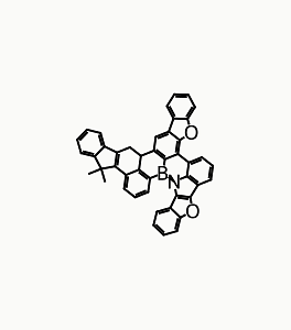 CC1(C)C2=C(CC3c4cc5c(oc6ccccc65)c5c4B(c4cccc2c43)n2c3c-5cccc3c3oc4ccccc4c32)c2ccccc21